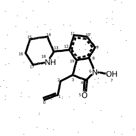 C=CCC1C(=O)N(O)c2cccc(C3CCCCN3)c21